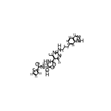 Cc1nc(NCCCc2ccc3cn[nH]c3c2)nc(C)c1C(=O)N[C@@H](CNC(=O)c1cccs1)C(=O)O